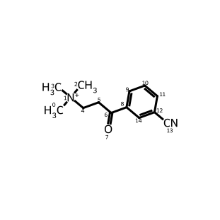 C[N+](C)(C)CCC(=O)c1cccc(C#N)c1